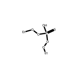 CCOOP(O)(=S)OOCC